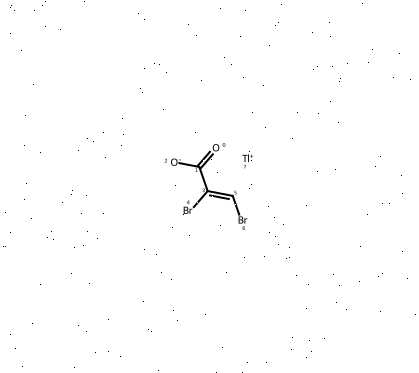 O=C([O-])C(Br)=CBr.[Tl+]